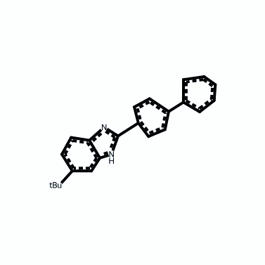 CC(C)(C)c1ccc2nc(-c3ccc(-c4ccccc4)cc3)[nH]c2c1